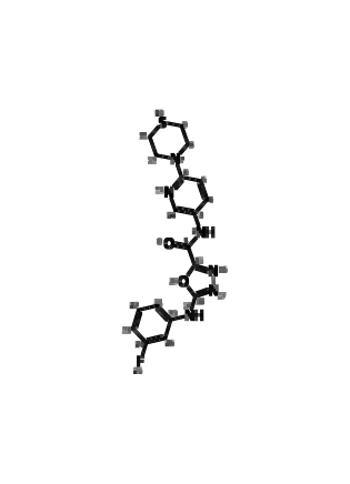 O=C(Nc1ccc(N2CCSCC2)nc1)c1nnc(Nc2cccc(F)c2)o1